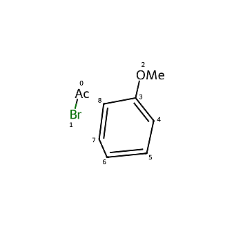 CC(=O)Br.COc1ccccc1